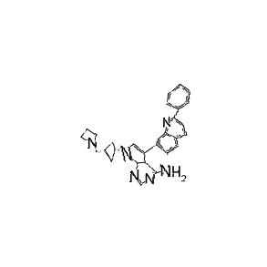 NC1=NC=NC2C1C(c1ccc3ccc(-c4ccccc4)nc3c1)=CN2[C@H]1C[C@@H](CN2CCC2)C1